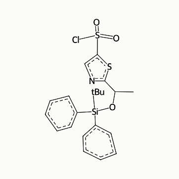 CC(O[Si](c1ccccc1)(c1ccccc1)C(C)(C)C)c1ncc(S(=O)(=O)Cl)s1